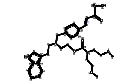 COCCN(CCOC)C(=O)OCCN(CCc1c[nH]c2ccccc12)Cc1ccc(/C=C/C(=O)NO)cc1